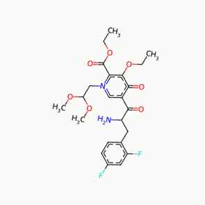 CCOC(=O)c1c(OCC)c(=O)c(C(=O)C(N)Cc2ccc(F)cc2F)cn1CC(OC)OC